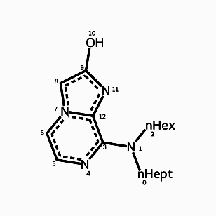 CCCCCCCN(CCCCCC)c1nccn2cc(O)nc12